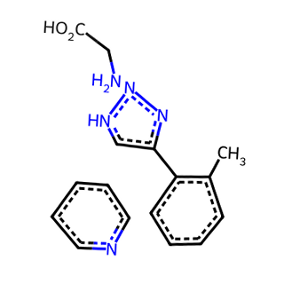 Cc1ccccc1-c1c[nH]nn1.NCC(=O)O.c1ccncc1